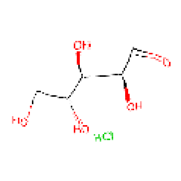 Cl.O=C[C@@H](O)[C@H](O)[C@H](O)CO